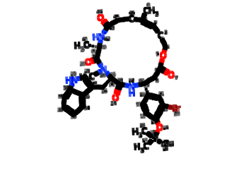 CC1=CCCOC(=O)C[C@H](c2ccc(O[Si](C)(C)C(C)(C)C)c(Br)c2)NC(=O)[C@@H](Cc2c[nH]c3ccccc23)N(C)C(=O)[C@H](C)NC(=O)CC1